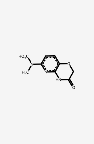 CN(C(=O)O)c1ccc2c(n1)NC(=O)CO2